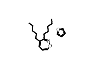 CCCCCC1=CC=CON=C1CCCCC.c1ccoc1